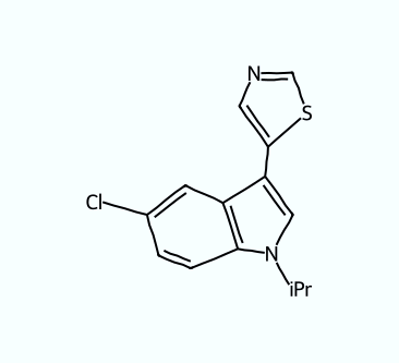 CC(C)n1cc(-c2cncs2)c2cc(Cl)ccc21